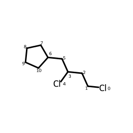 ClCCC(Cl)CC1CCCC1